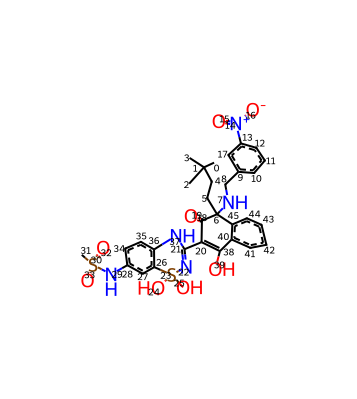 CC(C)(C)CCC1(NCc2cccc([N+](=O)[O-])c2)C(=O)C(C2=NS(O)(O)c3cc(NS(C)(=O)=O)ccc3N2)=C(O)c2ccccc21